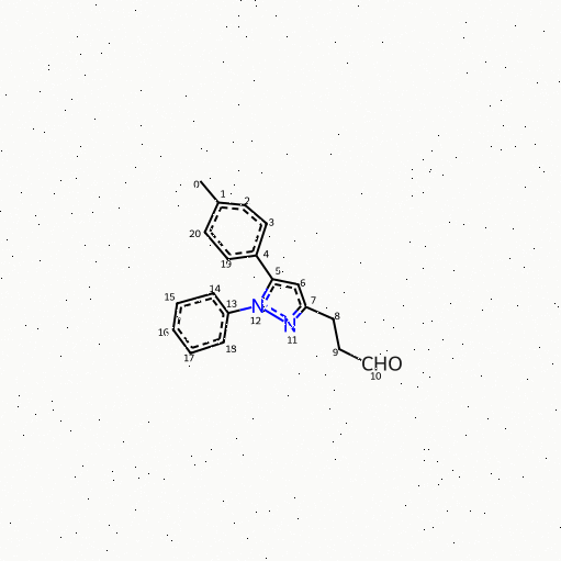 Cc1ccc(-c2cc(CCC=O)nn2-c2ccccc2)cc1